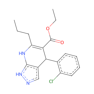 CCCC1=C(C(=O)OCC)C(c2ccccc2Cl)c2cn[nH]c2N1